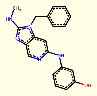 CNc1nc2cnc(Nc3cccc(O)c3)cc2n1Cc1ccccc1